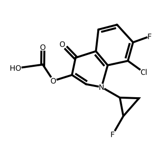 O=C(O)Oc1cn(C2CC2F)c2c(Cl)c(F)ccc2c1=O